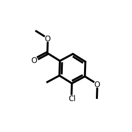 COC(=O)c1ccc(OC)c(Cl)c1C